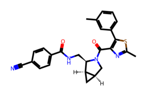 Cc1cccc(-c2sc(C)nc2C(=O)N2C[C@H]3C[C@H]3[C@H]2CNC(=O)c2ccc(C#N)cc2)c1